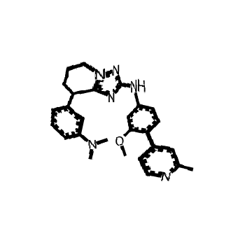 COc1cc(Nc2nc3n(n2)CCCC3c2cccc(N(C)C)c2)ccc1-c1ccnc(C)c1